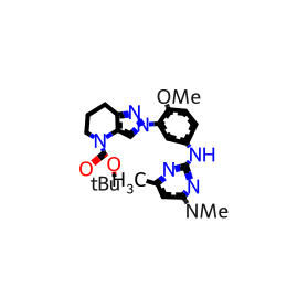 CNc1cc(C)nc(Nc2ccc(OC)c(-n3cc4c(n3)CCCN4C(=O)OC(C)(C)C)c2)n1